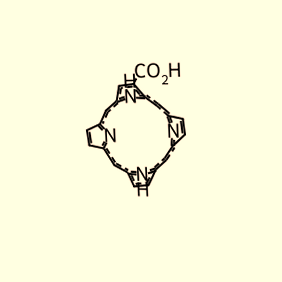 O=C(O)c1cc2cc3nc(cc4ccc(cc5nc(cc1[nH]2)C=C5)[nH]4)C=C3